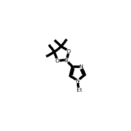 CCn1cnc(B2OC(C)(C)C(C)(C)O2)c1